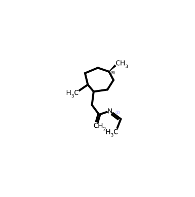 C=C(CC1CC[C@H](C)CCC1C)/N=C\C